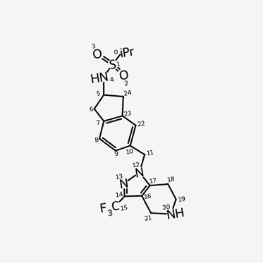 CC(C)S(=O)(=O)NC1Cc2ccc(Cn3nc(C(F)(F)F)c4c3CCNC4)cc2C1